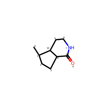 CC1CCC2C(=O)NCCC12